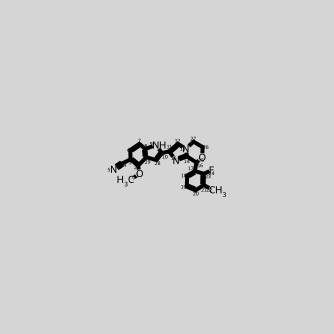 COc1c(C#N)ccc2[nH]c(-c3cn4c(n3)C(c3cccc(C)c3F)OCC4)cc12